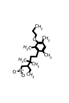 CCCOc1c(C)cc(C)c(CCC(C)(C)C(CC)C[N+](=O)[O-])c1C